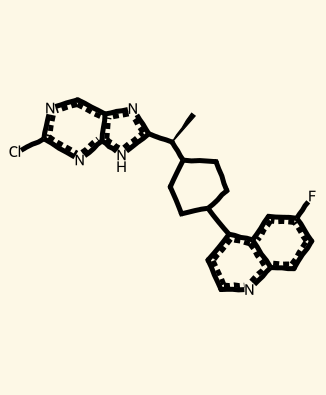 C[C@H](c1nc2cnc(Cl)nc2[nH]1)C1CCC(c2ccnc3ccc(F)cc23)CC1